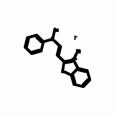 CC[n+]1c(C=CN(C(C)=O)c2ccccc2)sc2ccccc21.[I-]